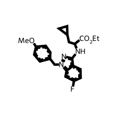 CCOC(=O)C(CC1CC1)Nc1nn(Cc2ccc(OC)cc2)c2cc(F)ccc12